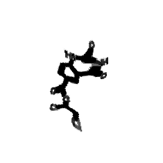 O=C(OC(Cl)CCl)c1ccc2[nH]c(=O)[nH]c(=O)c2c1